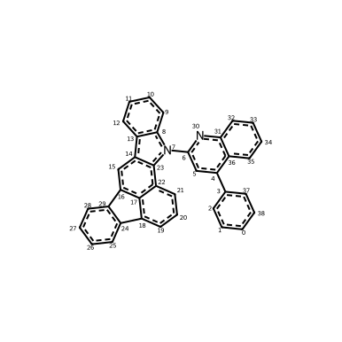 c1ccc(-c2cc(-n3c4ccccc4c4cc5c6c(cccc6c43)-c3ccccc3-5)nc3ccccc23)cc1